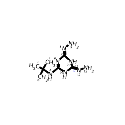 CC(C)(C)Nc1nc(=NN)[nH]/c(=N\N)[nH]1